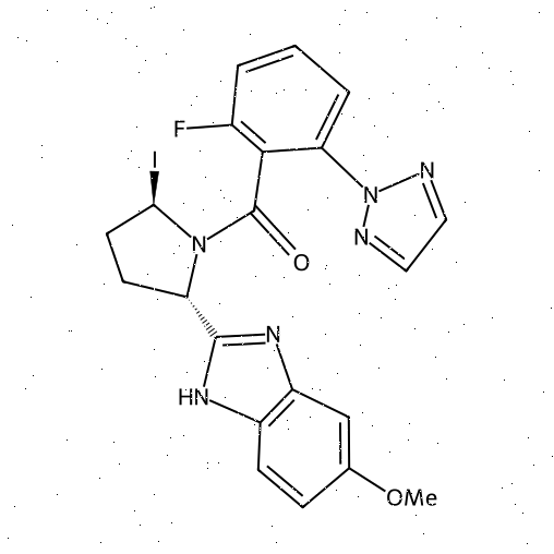 COc1ccc2[nH]c([C@@H]3CC[C@@H](I)N3C(=O)c3c(F)cccc3-n3nccn3)nc2c1